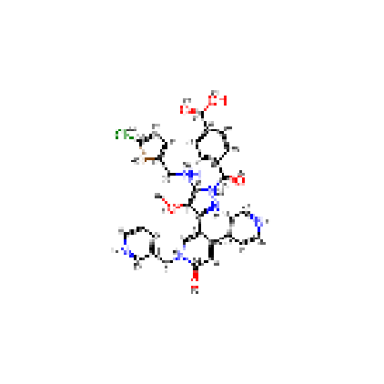 COc1c(-c2cn(Cc3cccnc3)c(=O)cc2-c2ccncc2)nn(C(=O)c2ccc(C(=O)O)cc2)c1NCc1ccc(Cl)s1